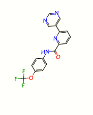 O=C(Nc1ccc(OC(F)(F)F)cc1)c1cccc(-c2cncnc2)n1